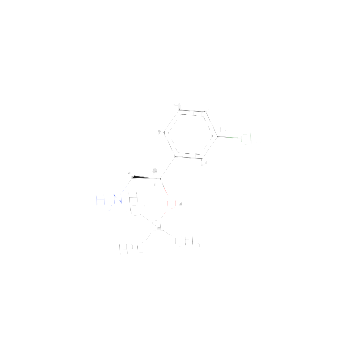 C[Si](C)(C)O[C@@H](CN)c1cccc(Cl)c1